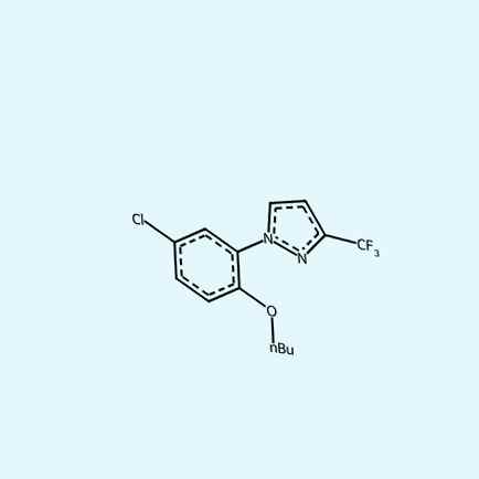 CCCCOc1ccc(Cl)cc1-n1ccc(C(F)(F)F)n1